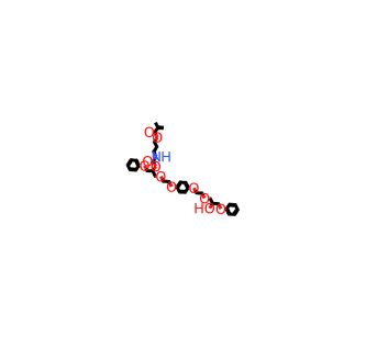 C=C(C)C(=O)OCCCNC(=O)OC(COCCOc1ccc(OCCOCC(O)COc2ccccc2)cc1)COc1ccccc1